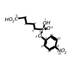 O=C(O)CCCCP(=O)(O)Oc1ccc([N+](=O)[O-])cc1